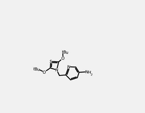 CC(C)(C)OC1=S=C(OC(C)(C)C)N1Cc1ccc(N)cn1